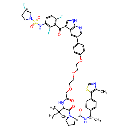 Cc1ncsc1-c1ccc([C@H](C)NC(=O)[C@@H]2CCCN2C(=O)C(NC(=O)COCCOCCOc2ccc(-c3cnc4[nH]cc(C(=O)c5c(F)ccc(NS(=O)(=O)N6CC[C@@H](F)C6)c5F)c4c3)cc2)C(C)(C)C)cc1